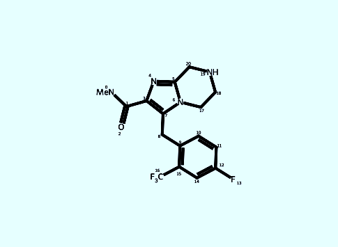 CNC(=O)c1nc2n(c1Cc1ccc(F)cc1C(F)(F)F)CCNC2